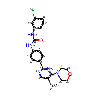 COc1cnc(-c2ccc(NC(=O)Nc3cccc(F)c3)cc2)nc1N1CCOCC1